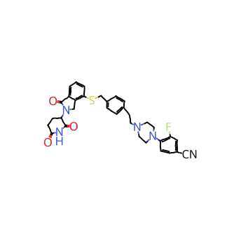 N#Cc1ccc(N2CCN(CCc3ccc(CSc4cccc5c4CN(C4CCC(=O)NC4=O)C5=O)cc3)CC2)c(F)c1